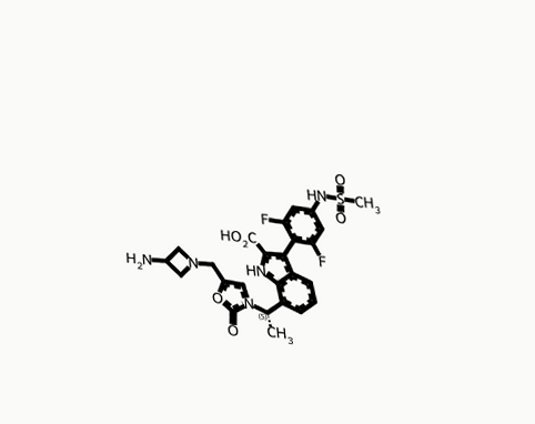 C[C@@H](c1cccc2c(-c3c(F)cc(NS(C)(=O)=O)cc3F)c(C(=O)O)[nH]c12)n1cc(CN2CC(N)C2)oc1=O